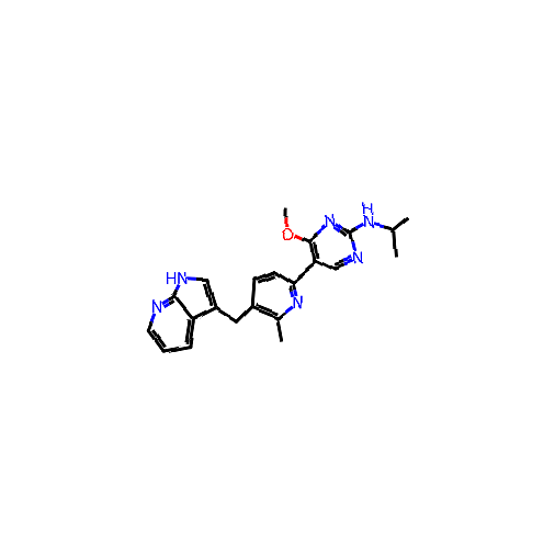 COc1nc(NC(C)C)ncc1-c1ccc(Cc2c[nH]c3ncccc23)c(C)n1